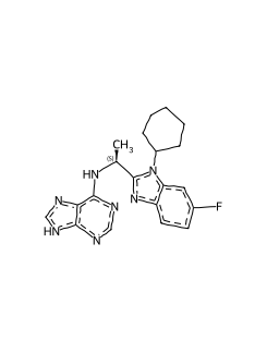 C[C@H](Nc1ncnc2[nH]cnc12)c1nc2ccc(F)cc2n1C1CCCCC1